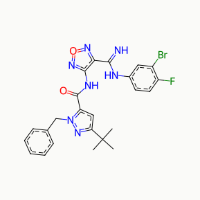 CC(C)(C)c1cc(C(=O)Nc2nonc2C(=N)Nc2ccc(F)c(Br)c2)n(Cc2ccccc2)n1